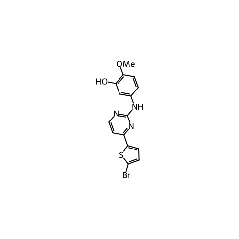 COc1ccc(Nc2nccc(-c3ccc(Br)s3)n2)cc1O